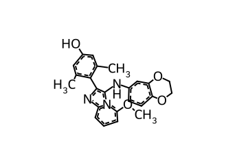 COc1cccc2nc(-c3c(C)cc(O)cc3C)c(Nc3ccc4c(c3)OCCO4)n12